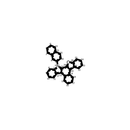 c1ccc2cc(-n3c4ccccc4c4c5ccccc5c5c6ccccc6oc5c43)ccc2c1